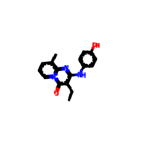 CCc1c(Nc2ccc(O)cc2)nc2c(C)cccn2c1=O